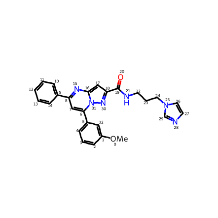 COc1cccc(-c2cc(-c3ccccc3)nc3cc(C(=O)NCCCn4ccnc4)nn23)c1